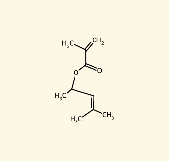 C=C(C)C(=O)OC(C)C=C(C)C